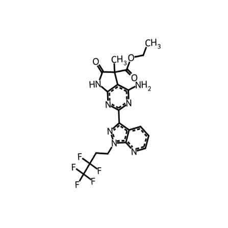 CCOC(=O)C1(C)C(=O)Nc2nc(-c3nn(CCC(F)(F)C(F)(F)F)c4ncccc34)nc(N)c21